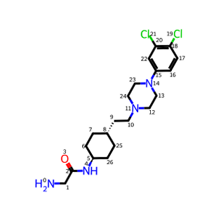 NCC(=O)N[C@H]1CC[C@H](CCN2CCN(c3ccc(Cl)c(Cl)c3)CC2)CC1